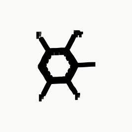 Cc1c(F)c(F)cc(F)c1C(C)C